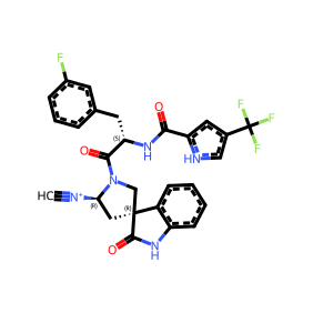 C#[N+][C@@H]1C[C@@]2(CN1C(=O)[C@H](Cc1cccc(F)c1)NC(=O)c1cc(C(F)(F)F)c[nH]1)C(=O)Nc1ccccc12